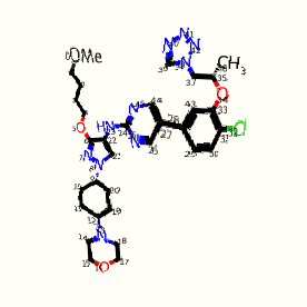 COCCCCOc1nn([C@H]2CC[C@H](N3CCOCC3)CC2)cc1Nc1ncc(-c2ccc(Cl)c(O[C@@H](C)Cn3cnnn3)c2)cn1